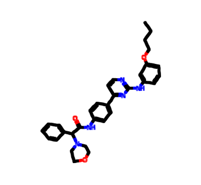 CCCCOc1cccc(Nc2nccc(-c3ccc(NC(=O)C(c4ccccc4)N4CCOCC4)cc3)n2)c1